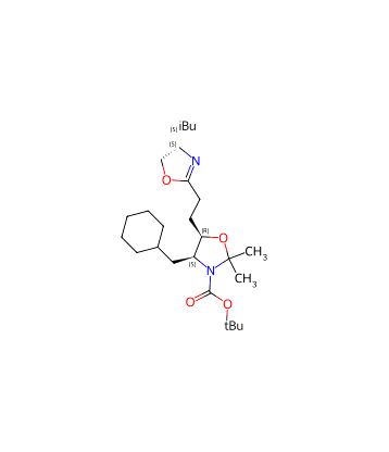 CC[C@H](C)[C@H]1COC(CC[C@H]2OC(C)(C)N(C(=O)OC(C)(C)C)[C@H]2CC2CCCCC2)=N1